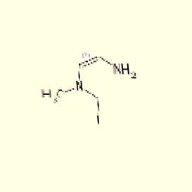 CN(/C=C\N)CI